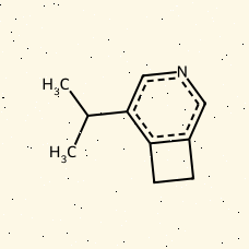 CC(C)c1cncc2c1CC2